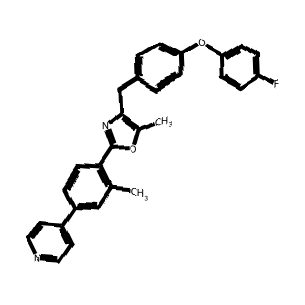 Cc1cc(-c2ccncc2)ccc1-c1nc(Cc2ccc(Oc3ccc(F)cc3)cc2)c(C)o1